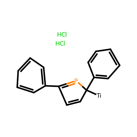 Cl.Cl.[Ti][C]1(c2ccccc2)C=CC(c2ccccc2)=P1